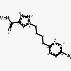 CNC(=O)c1cn(CCCCc2ccc(Br)nn2)nn1